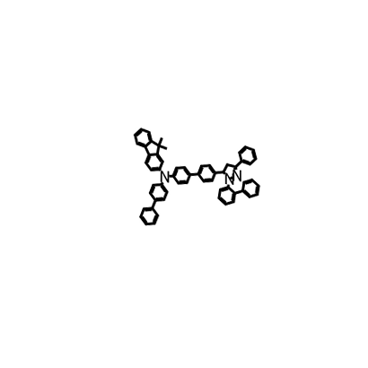 CC1(C)c2ccccc2-c2ccc(N(c3ccc(-c4ccccc4)cc3)c3ccc(-c4ccc(C5CC(c6ccccc6)=NN5c5ccccc5-c5ccccc5)cc4)cc3)cc21